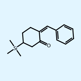 C[Si](C)(C)C1CCC(=Cc2ccccc2)C(=O)C1